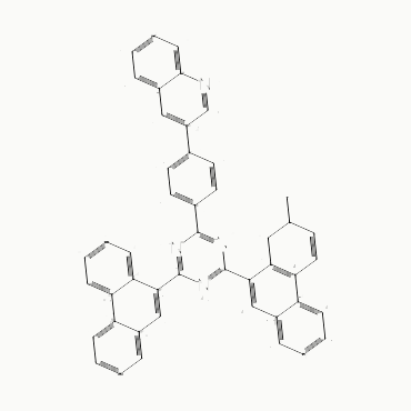 CC1C=Cc2c(c(-c3nc(-c4ccc(-c5cnc6ccccc6c5)cc4)nc(-c4cc5ccccc5c5ccccc45)n3)cc3ccccc23)C1